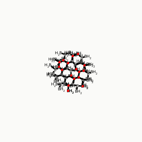 BB(B)B(B(B)B)B(B(B(B)B)B(B)B)B(B(B(B(B)B)B(B)B)B(B(B)B)B(B)B)B(B(B(B(B(B)B)B(B)B)B(B(B)B)B(B)B)B(B(B(B)B)B(B)B)B(B(B)B)B(B)B)B(B(B(B(B)B)B(B)B)B(B(B)B)B(B)B)B(B(B(B)B)B(B)B)B(B(B)B)B(B)B